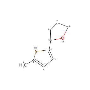 Cc1ccc(C2CCCO2)s1